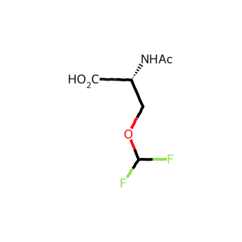 CC(=O)N[C@H](COC(F)F)C(=O)O